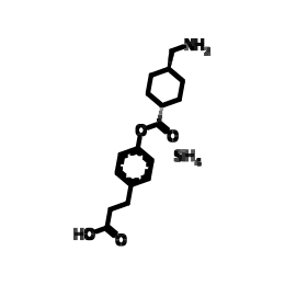 NC[C@H]1CC[C@H](C(=O)Oc2ccc(CCC(=O)O)cc2)CC1.[SiH4]